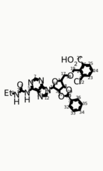 CCNC(=O)Nc1ncnc2c1ncn2C1OC(COCc2c(Cl)cccc2C(=O)O)C2O[C@@H](c3ccccc3)OC21